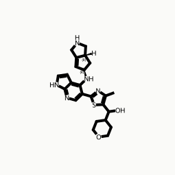 Cc1nc(-c2cnc3[nH]ccc3c2N[C@H]2C=C3CNC[C@@H]3C2)sc1C(O)C1CCOCC1